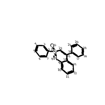 O=S1(c2ccccc2)=Nc2ccccc2C(c2ccccc2)=C1